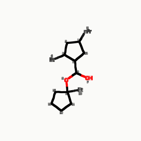 CCCC1CC(CC)C(C(O)OC2(CC)CCCC2)C1